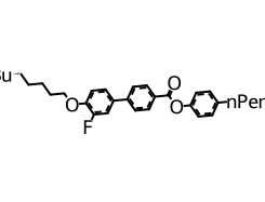 CCCCCc1ccc(OC(=O)c2ccc(-c3ccc(OCCCCC[C@@H](C)CC)c(F)c3)cc2)cc1